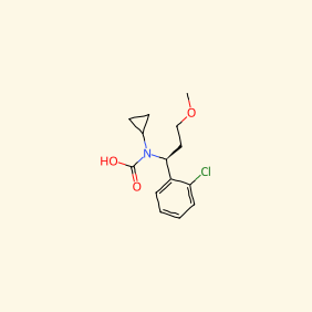 COCC[C@@H](c1ccccc1Cl)N(C(=O)O)C1CC1